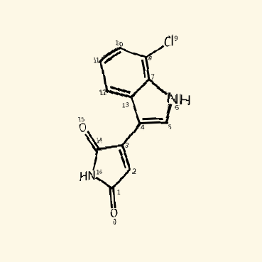 O=C1C=C(c2c[nH]c3c(Cl)cccc23)C(=O)N1